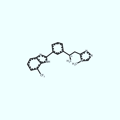 C[C@H](Cc1nncn1C)c1cccc(-c2nc3cccc(C(F)(F)F)c3[nH]2)c1